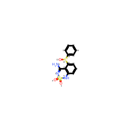 NC1=NS(=O)(=O)Nc2cccc([S+]([O-])c3ccccc3)c21